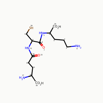 NCCCC(NC(=O)C(CS)NC(=O)CCC(N)C(=O)O)C(=O)O